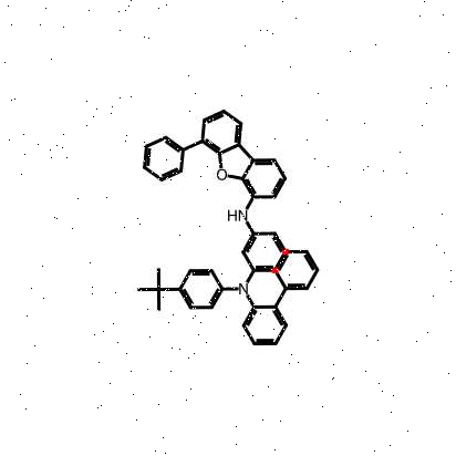 CC(C)(C)c1ccc(N(c2cccc(Nc3cccc4c3oc3c(-c5ccccc5)cccc34)c2)c2ccccc2-c2ccccc2)cc1